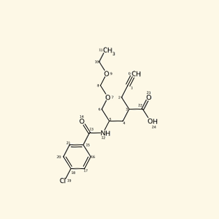 C#CCC(CC(COCOCC)NC(=O)c1ccc(Cl)cc1)C(=O)O